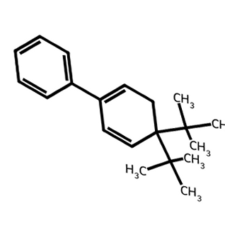 CC(C)(C)C1(C(C)(C)C)C=CC(c2ccccc2)=CC1